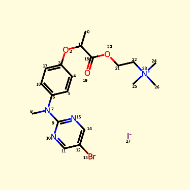 CC(Oc1ccc(N(C)c2ncc(Br)cn2)cc1)C(=O)OCC[N+](C)(C)C.[I-]